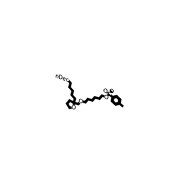 CCCCCCCCCCCCCCCC1(COCCCCCCOS(=O)(=O)c2ccc(C)cc2)CCCO1